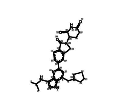 CC(C)Nc1n[nH]c2c(CN3CCCC3)cc(-c3ccc4c(c3)CN(C3CCC(=O)NC3=O)C4=O)nc12